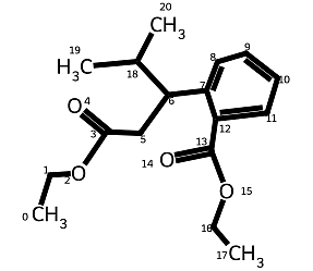 CCOC(=O)CC(c1ccccc1C(=O)OCC)C(C)C